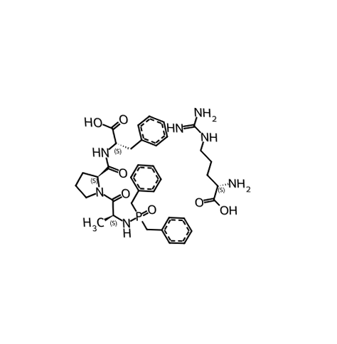 C[C@H](NP(=O)(Cc1ccccc1)Cc1ccccc1)C(=O)N1CCC[C@H]1C(=O)N[C@@H](Cc1ccccc1)C(=O)O.N=C(N)NCCC[C@H](N)C(=O)O